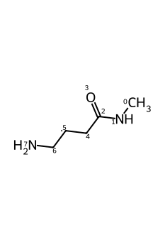 CNC(=O)C[CH]CN